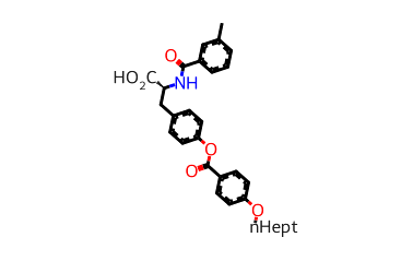 CCCCCCCOc1ccc(C(=O)Oc2ccc(C[C@H](NC(=O)c3cccc(C)c3)C(=O)O)cc2)cc1